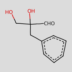 O=CC(O)(CO)Cc1ccccc1